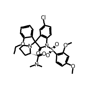 CCOc1ccccc1C1(N2CCC[C@H]2C(=O)N(C)C)C(=O)N(S(=O)(=O)c2ccc(OC)cc2OC)c2ccc(Cl)cc21